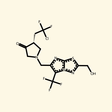 O=C1CN(Cc2nc3sc(CO)nn3c2C(F)(F)F)C[C@H]1CC(F)(F)Cl